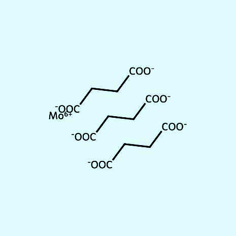 O=C([O-])CCC(=O)[O-].O=C([O-])CCC(=O)[O-].O=C([O-])CCC(=O)[O-].[Mo+6]